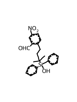 CC(C)(CCc1ccc([N+](=O)[O-])cc1C=O)[Si](O)(c1ccccc1)c1ccccc1